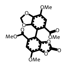 COC(=O)c1cc(OC)c2c(c1-c1c(C(=O)OC)cc(OC)c3oc(=O)oc13)OCO2